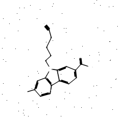 N#CCCCCn1c2cc(Br)ccc2c2ccc(C(=O)O)cc21